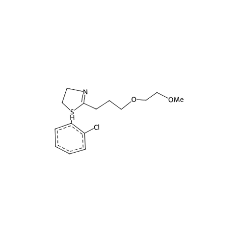 COCCOCCCC1=NCC[SH]1c1ccccc1Cl